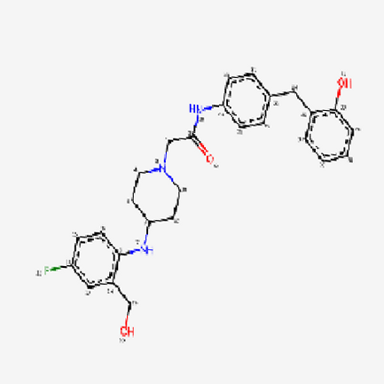 O=C(CN1CCC(Nc2ccc(F)cc2CO)CC1)Nc1ccc(Cc2ccccc2O)cc1